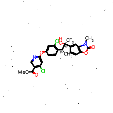 COC(=O)c1cnc(Oc2ccc([C@@H](C)[C@@](O)(c3ccc4oc(=O)n(C)c4c3)C(F)(F)F)c(Cl)c2)cc1Cl